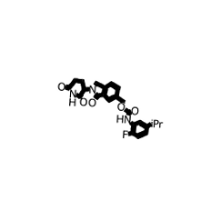 CC(C)c1ccc(F)c(NC(=O)OCc2ccc3c(c2)C(=O)N(C2CCC(=O)NC2=O)C3)c1